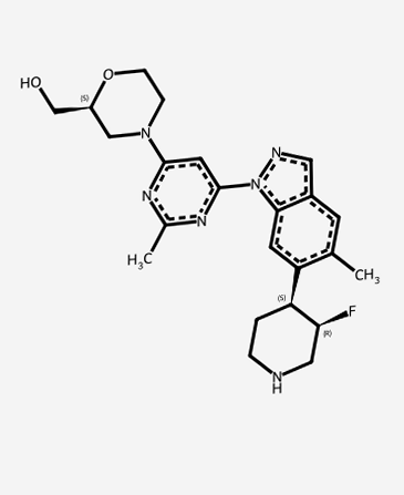 Cc1nc(N2CCO[C@H](CO)C2)cc(-n2ncc3cc(C)c([C@@H]4CCNC[C@@H]4F)cc32)n1